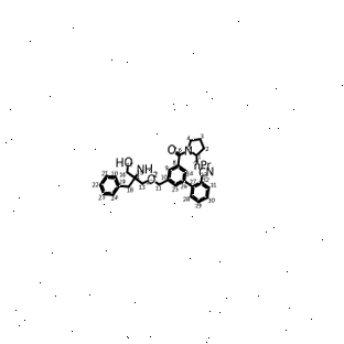 CCCC1CCCN1C(=O)c1cc(COCC(N)(CO)Cc2ccccc2)cc(-c2ccccc2C#N)c1